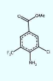 COC(=O)c1cc(Cl)c(N)c(C(F)(F)F)c1